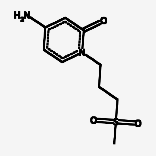 CS(=O)(=O)CCCn1ccc(N)cc1=O